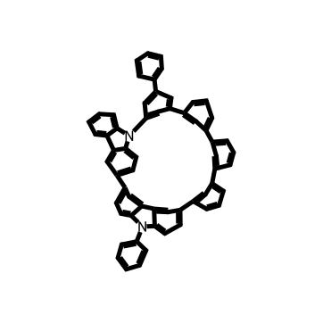 c1ccc(-c2cc3cc(c2)n2c4ccccc4c4cc(ccc42)c2ccc4c(c2)c2cc(ccc2n4-c2ccccc2)c2cccc(c2)c2cccc(c2)c2cccc3c2)cc1